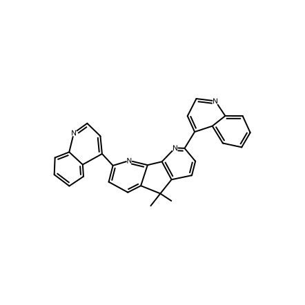 CC1(C)c2ccc(-c3ccnc4ccccc34)nc2-c2nc(-c3ccnc4ccccc34)ccc21